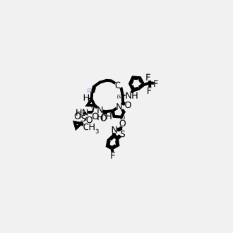 CC1(S(=O)(=O)NC(=O)[C@@]23C[C@H]2/C=C\CCCCC[C@H](Nc2cccc(C(F)(F)F)c2)C(=O)N2C[C@H](Oc4nc5ccc(F)cc5s4)C[C@H]2C(=O)N3)CC1